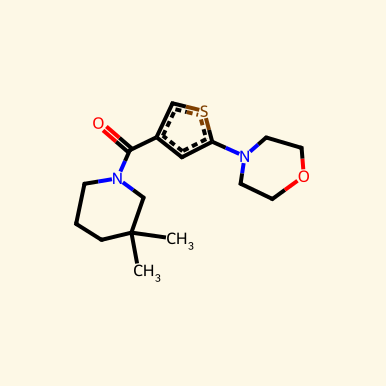 CC1(C)CCCN(C(=O)c2csc(N3CCOCC3)c2)C1